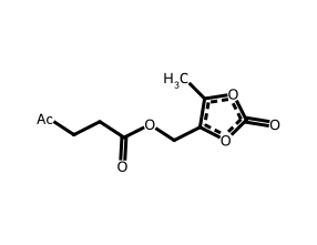 CC(=O)CCC(=O)OCc1oc(=O)oc1C